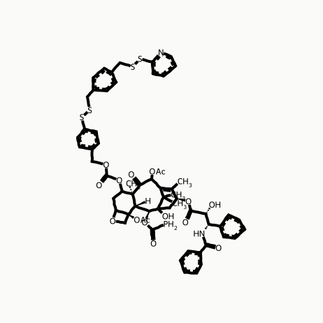 CC(=O)OC1C(=O)[C@]2(C)C(OC(=O)OCc3ccc(SSCc4ccc(CSSc5ccccn5)cc4)cc3)CC3OC[C@@]3(OC(C)=O)[C@H]2[C@H](OC(=O)P)C2(O)C[C@H](OC(=O)[C@H](O)[C@@H](NC(=O)c3ccccc3)c3ccccc3)C(C)=C1C2(C)C